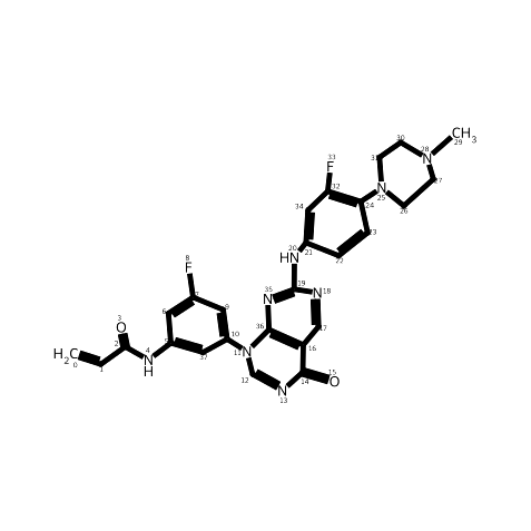 C=CC(=O)Nc1cc(F)cc(-n2cnc(=O)c3cnc(Nc4ccc(N5CCN(C)CC5)c(F)c4)nc32)c1